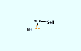 [LiH].[PH2][InH][SeH]